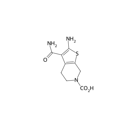 NC(=O)c1c(N)sc2c1CCN(C(=O)O)C2